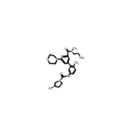 CC[C@@H]1CCN(C(=O)Nc2ccc(C)c(-c3cc(C(=O)N(C)CCO)nc(N4CCOCC4)c3)c2)C1